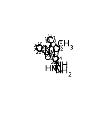 Cc1ccc2c(c1)C(C1CCCCC1)=NN(Cc1ccccc1)C(=O)N2c1ccc(NC(=N)N)cc1